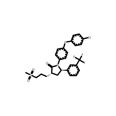 CS(=O)(=O)CCC[C@H]1C[C@H](c2cccc(C(F)(F)F)c2)N(c2ccc(Oc3ccc(Cl)cc3)cc2)C1=O